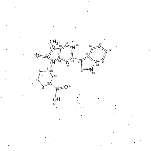 Cn1c(=O)n([C@H]2CCCN(C(=O)O)C2)c2nc(-c3cnn4ccccc34)ncc21